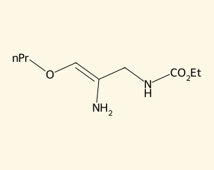 CCCO/C=C(\N)CNC(=O)OCC